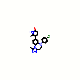 Cc1[nH]c(=O)ccc1-c1ccc2c(c1)N(c1ccc(Cl)cc1)CCc1nnc(C)n1-2